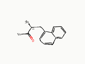 CCC(=O)[C@H](Cc1cccc2ccccc12)C(C)(C)C